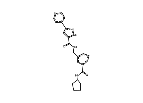 O=C(NC1CCCC1)c1cccc(CNC(=O)c2cc(-c3ccncc3)n[nH]2)c1